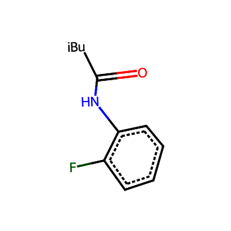 CCC(C)C(=O)Nc1ccccc1F